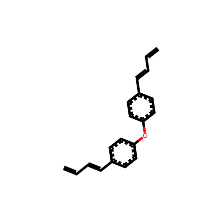 C=CC=Cc1ccc(Oc2ccc(C=CC=C)cc2)cc1